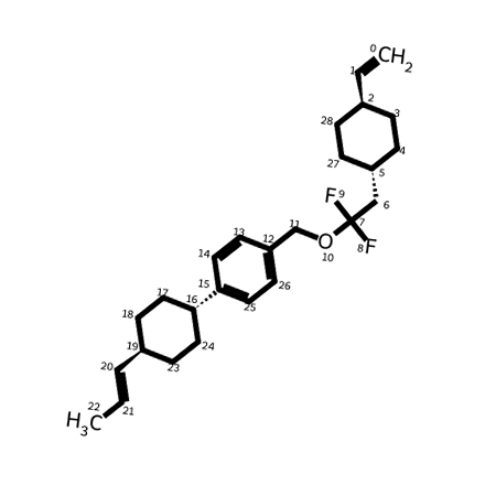 C=C[C@H]1CC[C@H](CC(F)(F)OCc2ccc([C@H]3CC[C@H](/C=C/C)CC3)cc2)CC1